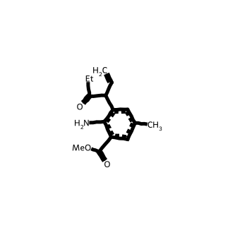 C=CC(C(=O)CC)c1cc(C)cc(C(=O)OC)c1N